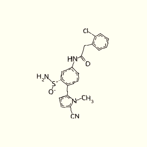 Cn1c(C#N)ccc1-c1ccc(NC(=O)Cc2ccccc2Cl)cc1[S+](N)[O-]